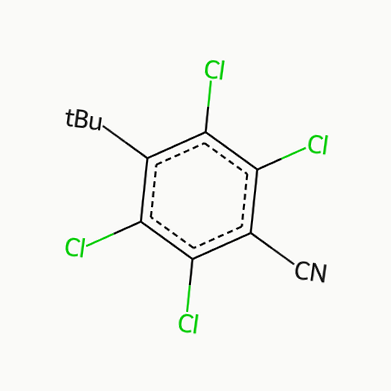 CC(C)(C)c1c(Cl)c(Cl)c(C#N)c(Cl)c1Cl